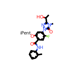 CCCC(C)Oc1cc(-n2nc(C(C)O)n(C)c2=O)c(F)cc1C(=O)Nc1ccccc1C